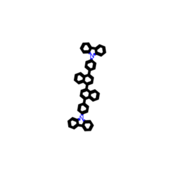 c1ccc2c(-c3ccc(-c4ccc(-n5c6ccccc6c6ccccc65)cc4)c4ccccc34)ccc(-c3ccc(-n4c5ccccc5c5ccccc54)cc3)c2c1